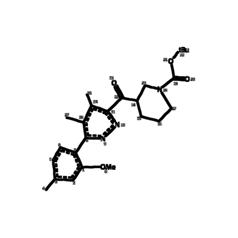 COc1cc(C)ccc1-c1nnc(C(=O)C2CCCN(C(=O)OC(C)(C)C)C2)c(C)c1C